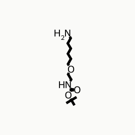 CC(C)(C)OC(=O)NCCOCCCCCCN